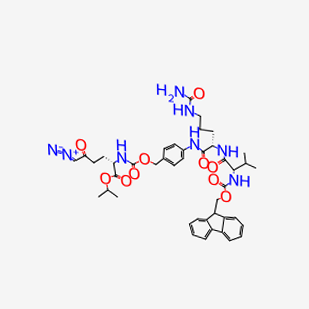 CC(C)OC(=O)[C@H](CCC(=O)C=[N+]=[N-])NC(=O)OCc1ccc(NC(=O)[C@H](CCCNC(N)=O)NC(=O)[C@@H](NC(=O)OCC2c3ccccc3-c3ccccc32)C(C)C)cc1